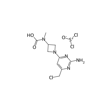 CN(C(=O)O)C1CN(c2cc(CCl)nc(N)n2)C1.[O-][S+](Cl)Cl